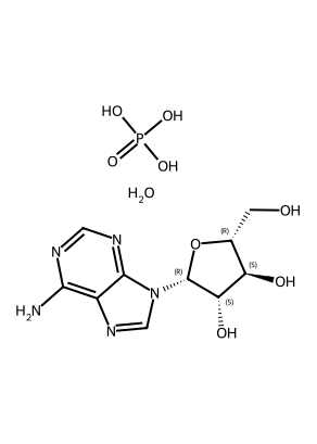 Nc1ncnc2c1ncn2[C@@H]1O[C@H](CO)[C@@H](O)[C@@H]1O.O.O=P(O)(O)O